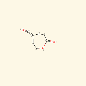 O=C=C1CCOC(=O)CC1